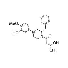 COc1ccc(N2CCN(C(=O)C[C@@H](C)O)[C@@H](Cc3ccccc3)C2)cc1O